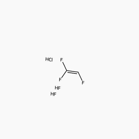 Cl.F.F.FC=C(F)F